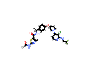 CCC(=O)Nc1nc(C)c(C(=O)N[C@@H](C)c2ccc(O[C@@H]3CCN(c4ccnc(NCC(F)F)c4Cl)C3)cc2)s1